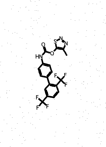 Cc1nnsc1OC(=O)Nc1ccc(-c2cc(C(F)(F)F)ccc2C(F)(F)F)cc1